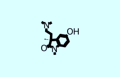 CN(C)CC[C@]1(C)C(=O)N(C)c2ccc(O)cc21